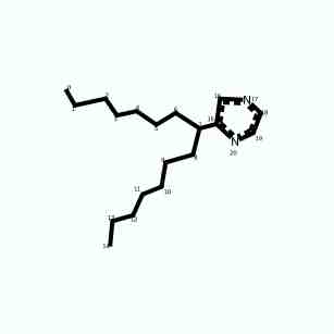 CCCCCCCC(CCCCCCC)c1cnccn1